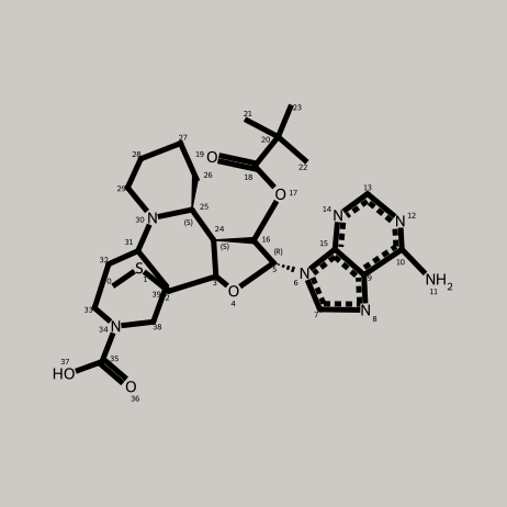 CSCC1O[C@@H](n2cnc3c(N)ncnc32)C(OC(=O)C(C)(C)C)[C@@H]1[C@@H]1CCCCN1C1CCN(C(=O)O)CC1